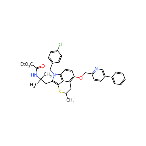 CCOC(=O)C(=O)NC(C)(C)Cc1c2c3c(c(OCc4ccc(-c5ccccc5)cn4)ccc3n1Cc1ccc(Cl)cc1)CC(C)S2